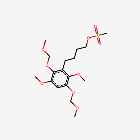 COCOc1cc(OC)c(OCOC)c(CCCCOS(C)(=O)=O)c1OC